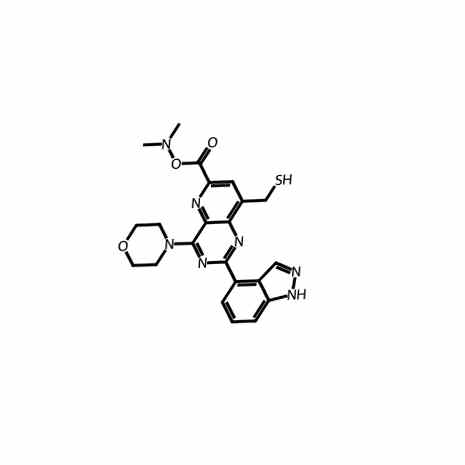 CN(C)OC(=O)c1cc(CS)c2nc(-c3cccc4[nH]ncc34)nc(N3CCOCC3)c2n1